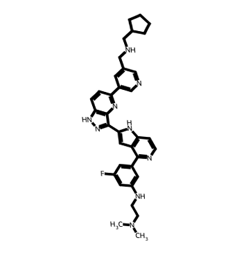 CN(C)CCNc1cc(F)cc(-c2nccc3[nH]c(-c4n[nH]c5ccc(-c6cncc(CNCC7CCCC7)c6)nc45)cc23)c1